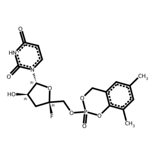 Cc1cc(C)c2c(c1)COP(=O)(OC[C@]1(F)C[C@@H](O)[C@H](n3ccc(=O)[nH]c3=O)O1)O2